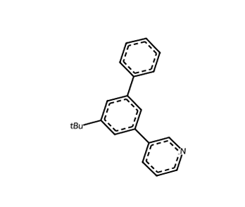 CC(C)(C)c1cc(-c2ccccc2)cc(-c2cccnc2)c1